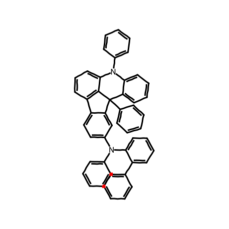 c1ccc(-c2ccccc2N(c2ccccc2)c2ccc3c(c2)C2(c4ccccc4)c4ccccc4N(c4ccccc4)c4cccc-3c42)cc1